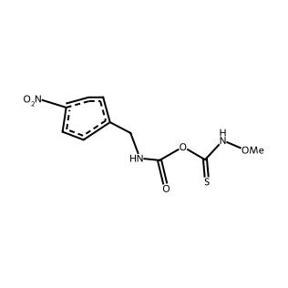 CONC(=S)OC(=O)NCc1ccc([N+](=O)[O-])cc1